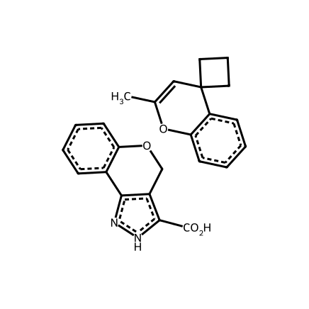 CC1=CC2(CCC2)c2ccccc2O1.O=C(O)c1[nH]nc2c1COc1ccccc1-2